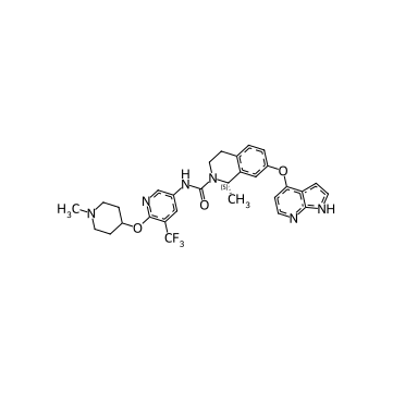 C[C@H]1c2cc(Oc3ccnc4[nH]ccc34)ccc2CCN1C(=O)Nc1cnc(OC2CCN(C)CC2)c(C(F)(F)F)c1